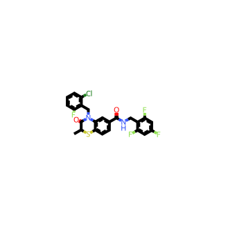 CC1Sc2ccc(C(=O)NCc3c(F)cc(F)cc3F)cc2N(Cc2c(F)cccc2Cl)C1=O